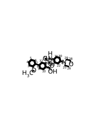 COc1ccccc1-c1ccc(C(=O)O)c(S(=O)(=O)Nc2ccc(N3CCOCC3)cc2)c1